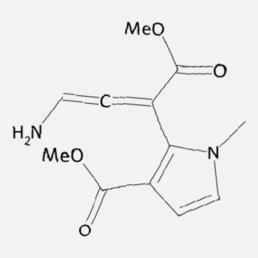 COC(=O)C(=C=CN)c1c(C(=O)OC)ccn1C